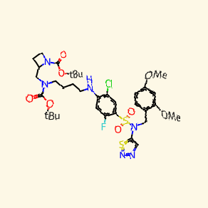 COc1ccc(CN(c2cnns2)S(=O)(=O)c2cc(Cl)c(NCCCCN(CC3CCN3C(=O)OC(C)(C)C)C(=O)OC(C)(C)C)cc2F)c(OC)c1